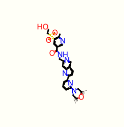 Cc1ncc(C(=O)NCc2cc3nc(-c4cccc(N5C[C@@H](C)O[C@@H](C)C5)n4)ccc3cn2)cc1S(=O)(=O)CCO